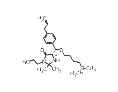 C=CCc1ccc(C(OCCCC[SiH](C)C)[C@@H]2NC(C)(C)N(CCO)C2=O)cc1